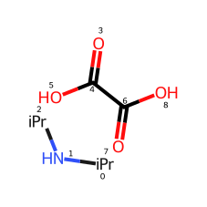 CC(C)NC(C)C.O=C(O)C(=O)O